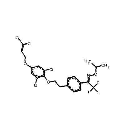 CC(C)ON=C(c1ccc(CCOc2c(Cl)cc(OCC=C(Cl)Cl)cc2Cl)cc1)C(F)(F)F